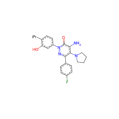 CC(C)c1ccc(-n2nc(-c3ccc(F)cc3)c(N3CCCC3)c(N)c2=O)cc1O